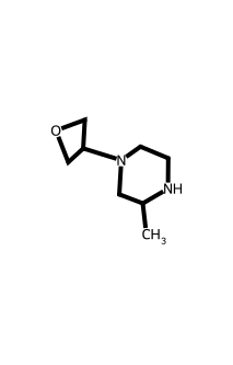 CC1CN(C2COC2)CCN1